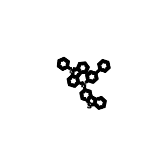 c1ccc(-c2ccc(N(c3ccc4sc5ccccc5c4c3)c3cccc4c3c3ccccc3n4-c3ccccc3)cc2)cc1